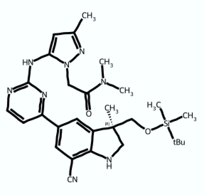 Cc1cc(Nc2nccc(-c3cc(C#N)c4c(c3)[C@@](C)(CO[Si](C)(C)C(C)(C)C)CN4)n2)n(CC(=O)N(C)C)n1